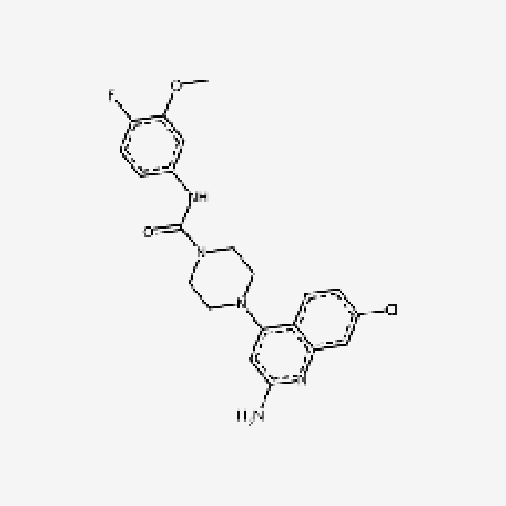 COc1cc(NC(=O)N2CCN(c3cc(N)nc4cc(Cl)ccc34)CC2)ccc1F